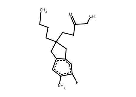 CCCCC1(CCC(=O)CC)Cc2cc(N)c(F)cc2C1